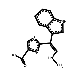 CNC=C(c1nc(C(=O)O)cs1)c1c[nH]c2ccccc12